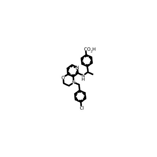 CC(Nc1nccc2c1N(Cc1ccc(Cl)cc1)CCO2)c1ccc(C(=O)O)cc1